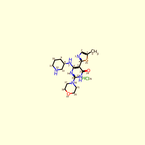 Cc1cnc(-c2c(N[C@@H]3CCCNC3)nc(N3CCOCC3)[nH]c2=O)s1.Cl